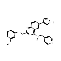 COc1cccc(OCc2nc(N(C)Cc3ccncc3)c3cc(-c4cn[nH]c4)ccc3n2)c1